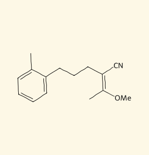 COC(C)=C(C#N)CCCc1ccccc1C